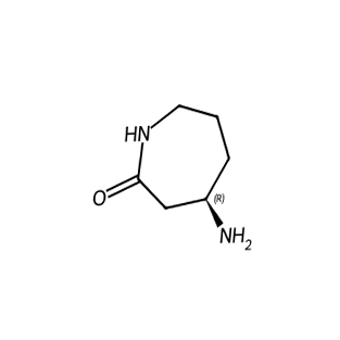 N[C@@H]1CCCNC(=O)C1